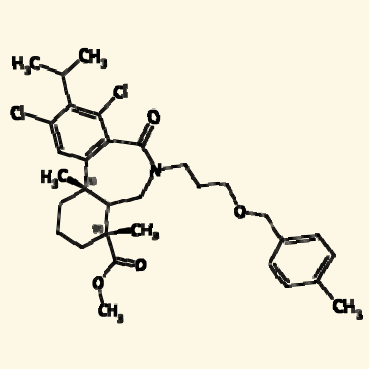 COC(=O)[C@]1(C)CCC[C@]2(C)c3cc(Cl)c(C(C)C)c(Cl)c3C(=O)N(CCCOCc3ccc(C)cc3)CC12